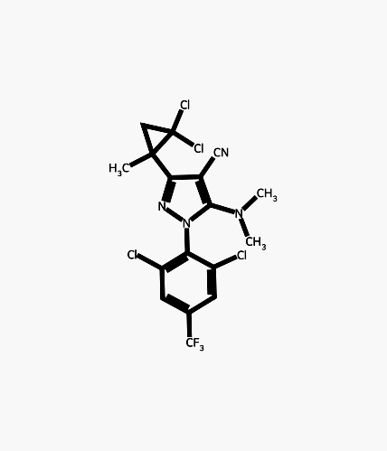 CN(C)c1c(C#N)c(C2(C)CC2(Cl)Cl)nn1-c1c(Cl)cc(C(F)(F)F)cc1Cl